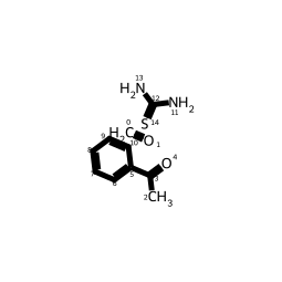 C=O.CC(=O)c1ccccc1.NC(N)=S